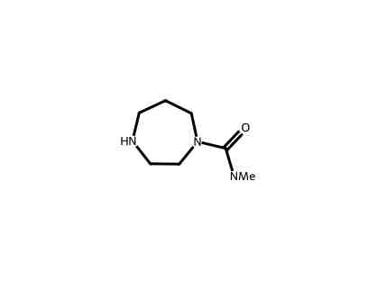 CNC(=O)N1CCCNCC1